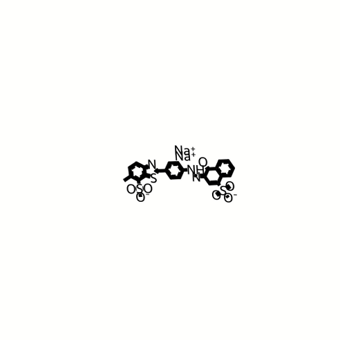 Cc1ccc2nc(-c3ccc(N/N=C4/C=C(S(=O)(=O)[O-])c5ccccc5C4=O)cc3)sc2c1S(=O)(=O)[O-].[Na+].[Na+]